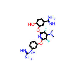 CN(C)c1c(F)c(Oc2cccc(NC(=N)N)c2)nc(Oc2cc(C(=N)N)ccc2O)c1F